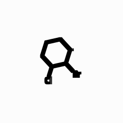 ClC1CCC[CH]C1Br